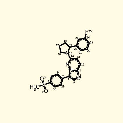 CS(=O)(=O)c1ccc(-c2cnc3ccc(N4CCCC4c4cccc(F)c4)nn23)cc1